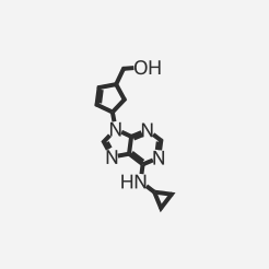 OCC1C=CC(n2cnc3c(NC4CC4)ncnc32)C1